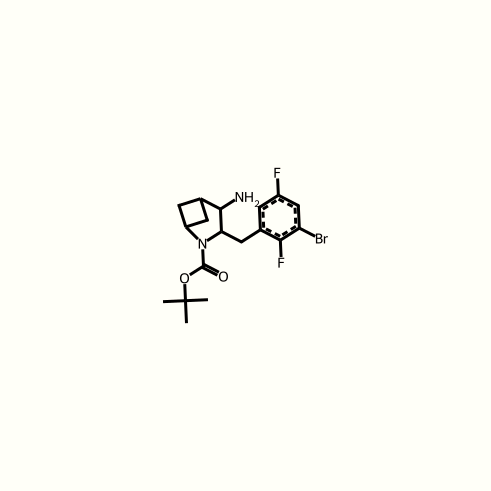 CC(C)(C)OC(=O)N1C2CC(C2)C(N)C1Cc1cc(F)cc(Br)c1F